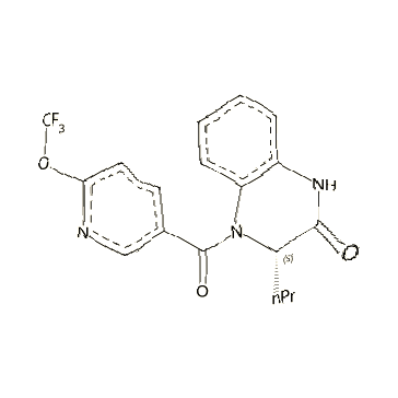 CCC[C@H]1C(=O)Nc2ccccc2N1C(=O)c1ccc(OC(F)(F)F)nc1